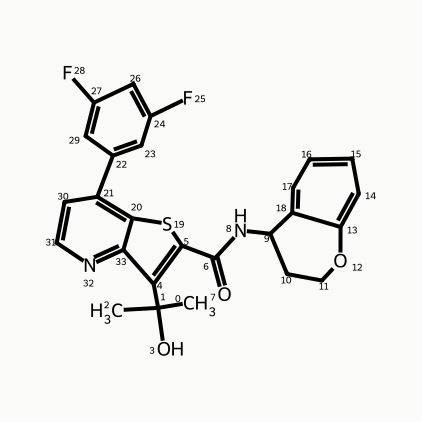 CC(C)(O)c1c(C(=O)NC2CCOc3ccccc32)sc2c(-c3cc(F)cc(F)c3)ccnc12